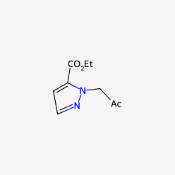 CCOC(=O)c1ccnn1CC(C)=O